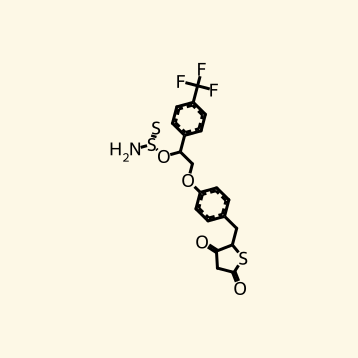 NS(=S)OC(COc1ccc(CC2SC(=O)CC2=O)cc1)c1ccc(C(F)(F)F)cc1